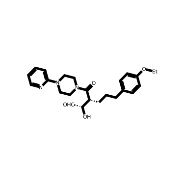 CCOc1ccc(CCC[C@@H](C(=O)N2CCN(c3ccccn3)CC2)[C@H](O)C=O)cc1